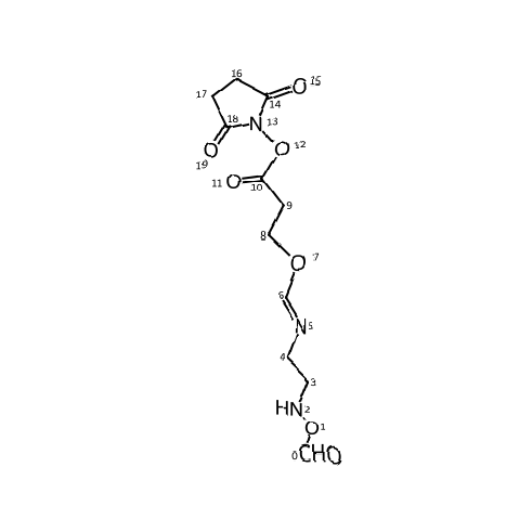 O=CONCC/N=C/OCCC(=O)ON1C(=O)CCC1=O